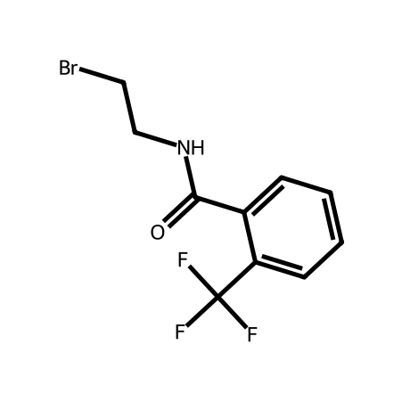 O=C(NCCBr)c1ccccc1C(F)(F)F